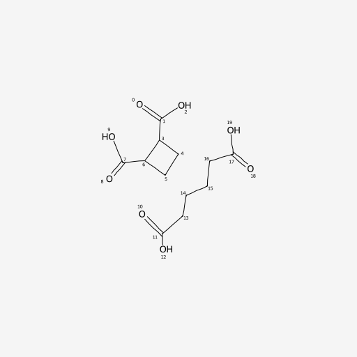 O=C(O)C1CCC1C(=O)O.O=C(O)CCCCC(=O)O